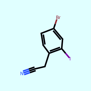 N#CCc1ccc(Br)cc1I